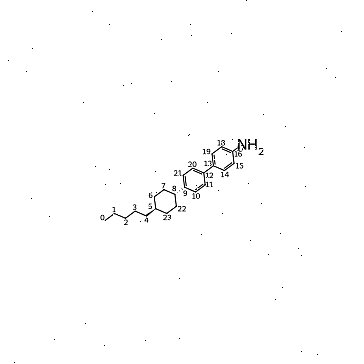 CCCCC[C@H]1CC[C@H](c2ccc(-c3ccc(N)cc3)cc2)CC1